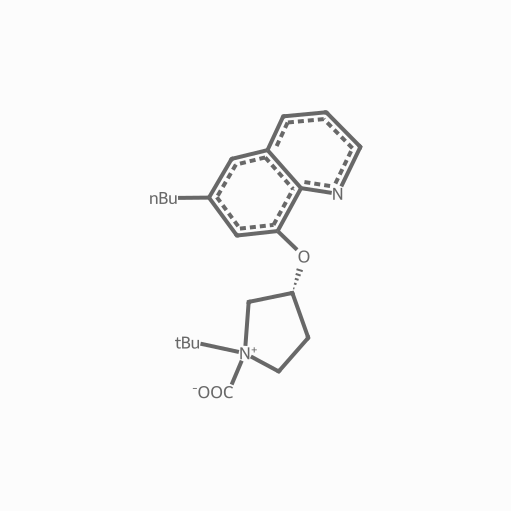 CCCCc1cc(O[C@@H]2CC[N+](C(=O)[O-])(C(C)(C)C)C2)c2ncccc2c1